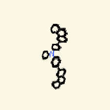 c1ccc(N(c2ccc(-c3ccc4ccc5ccccc5c4c3)cc2)c2ccc(-c3ccc4ccc5ccccc5c4c3)cc2)cc1